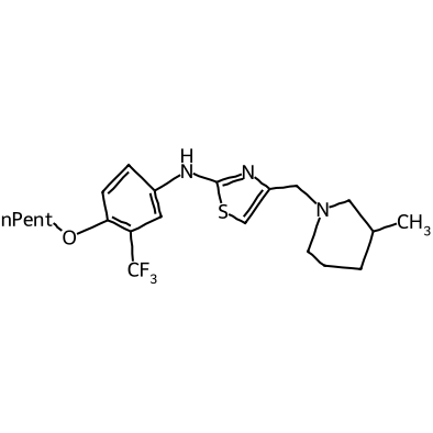 CCCCCOc1ccc(Nc2nc(CN3CCCC(C)C3)cs2)cc1C(F)(F)F